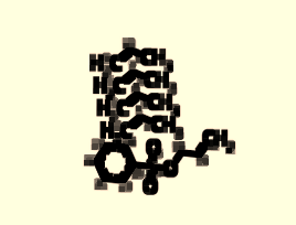 C=CC.C=CC.C=CC.C=CC.C=CCOS(=O)(=O)c1ccccc1